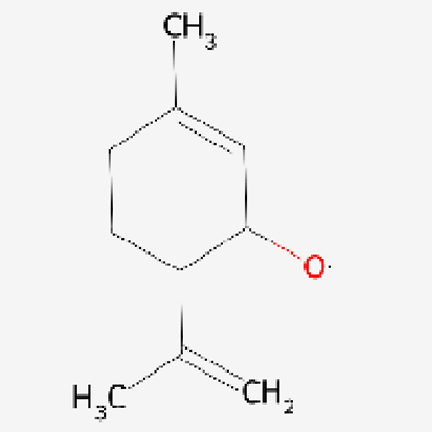 C=C(C)C1CCC(C)=CC1[O]